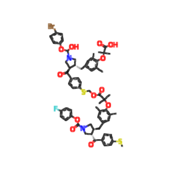 CSc1ccc(C(=O)[C@@H]2CN(C(=O)Oc3ccc(F)cc3)C[C@H]2Cc2cc(C)c(OC(C)(C)C(=O)OCSc3ccc(C(=O)[C@H]4CN(C(O)Oc5ccc(Br)cc5)C[C@@H]4Cc4cc(C)c(OC(C)(C)C(=O)O)c(C)c4)cc3)c(C)c2)cc1